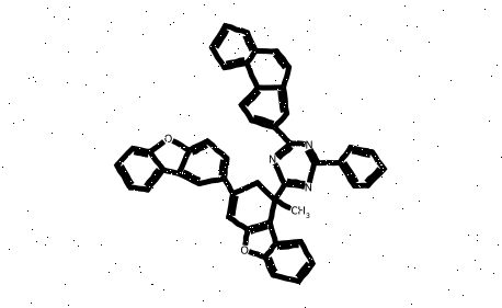 CC1(c2nc(-c3ccccc3)nc(-c3ccc4c(ccc5ccccc54)c3)n2)CC(c2ccc3oc4ccccc4c3c2)=Cc2oc3ccccc3c21